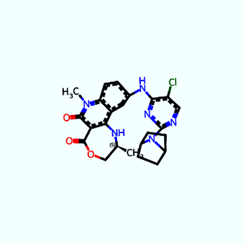 C[C@H]1COC(=O)c2c(c3cc(Nc4nc(N5C6CCC5CC6)ncc4Cl)ccc3n(C)c2=O)N1